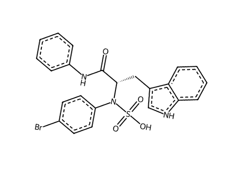 O=C(Nc1ccccc1)[C@H](Cc1c[nH]c2ccccc12)N(c1ccc(Br)cc1)S(=O)(=O)O